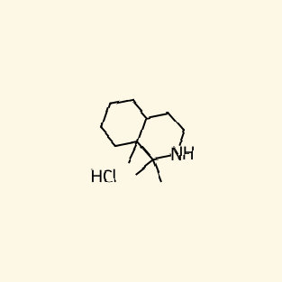 CC1(C)NCCC2CCCCC21C.Cl